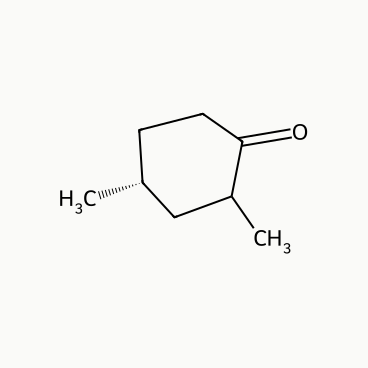 CC1C[C@H](C)CCC1=O